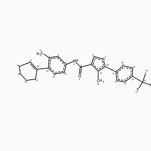 Cc1cc(NC(=O)c2cnn(-c3ccc(C(F)(F)I)cn3)c2C)cnc1C1=CCCCC1